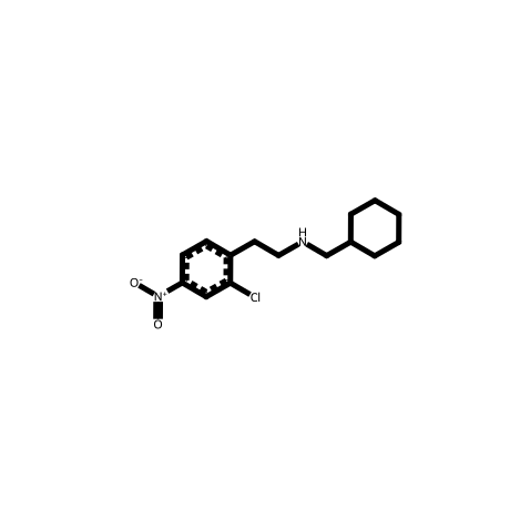 O=[N+]([O-])c1ccc(CCNCC2CCCCC2)c(Cl)c1